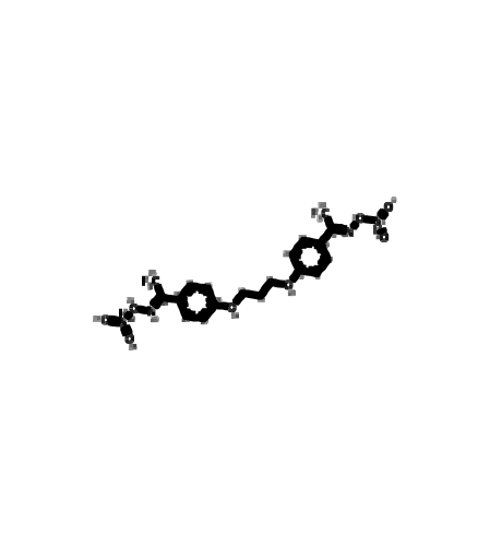 O=[SH](=O)O/N=C(/c1ccc(OCCCOc2ccc(/C(=N/O[SH](=O)=O)C(F)(F)F)cc2)cc1)C(F)(F)F